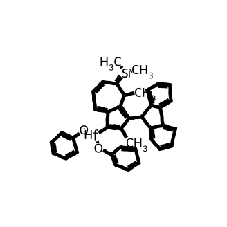 CC1=[C]([Hf]([O]c2ccccc2)[O]c2ccccc2)C2=CC=CC(=[Si](C)C)C(C)C2=C1C1c2ccccc2-c2ccccc21